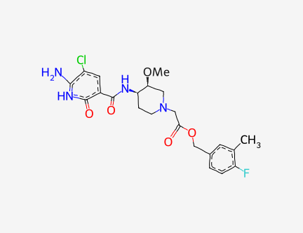 CO[C@H]1CN(CC(=O)OCc2ccc(F)c(C)c2)CC[C@H]1NC(=O)c1cc(Cl)c(N)[nH]c1=O